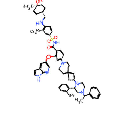 CC(C)c1ccccc1C1CN(C(C)c2ccccc2)CCN1C1CC2(CCN(c3ccc(C(=O)NS(=O)(=O)c4ccc(NC[C@H]5CC[C@](C)(O)CC5)c([N+](=O)[O-])c4)c(Oc4cnc5[nH]ccc5c4)c3)CC2)C1